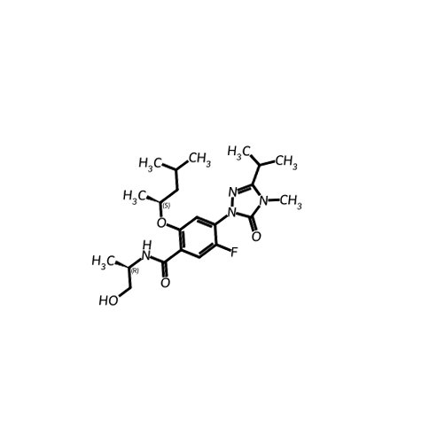 CC(C)C[C@H](C)Oc1cc(-n2nc(C(C)C)n(C)c2=O)c(F)cc1C(=O)N[C@H](C)CO